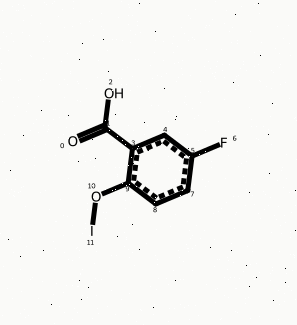 O=C(O)c1cc(F)ccc1OI